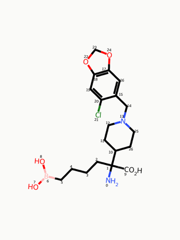 NC(CCCCB(O)O)(C(=O)O)C1CCN(Cc2cc3c(cc2Cl)OCO3)CC1